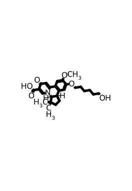 COc1cc2c(cc1OCCCCCCO)[C@H]1CCC(C)(C)[C@H]1n1cc(C(=O)O)c(=O)cc1-2